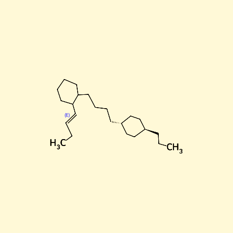 CC/C=C/C1CCCCC1CCCC[C@H]1CC[C@H](CCC)CC1